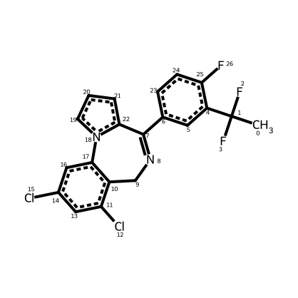 CC(F)(F)c1cc(C2=NCc3c(Cl)cc(Cl)cc3-n3cccc32)ccc1F